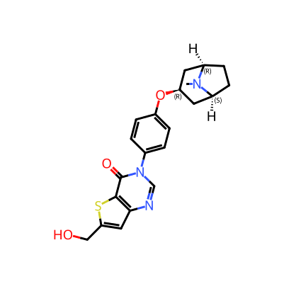 CN1[C@@H]2CC[C@H]1C[C@@H](Oc1ccc(-n3cnc4cc(CO)sc4c3=O)cc1)C2